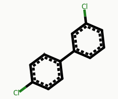 Clc1c[c]c(-c2cccc(Cl)c2)cc1